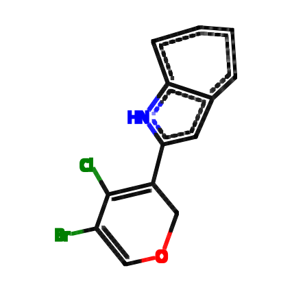 ClC1=C(c2cc3ccccc3[nH]2)COC=C1Br